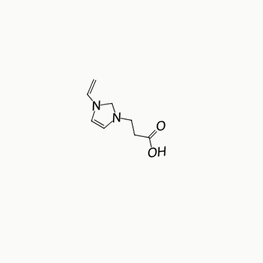 C=CN1C=CN(CCC(=O)O)C1